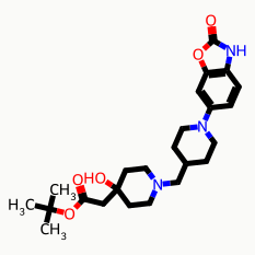 CC(C)(C)OC(=O)CC1(O)CCN(CC2CCN(c3ccc4[nH]c(=O)oc4c3)CC2)CC1